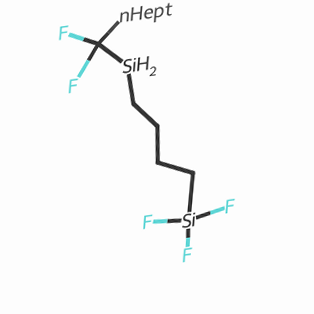 CCCCCCCC(F)(F)[SiH2]CCCC[Si](F)(F)F